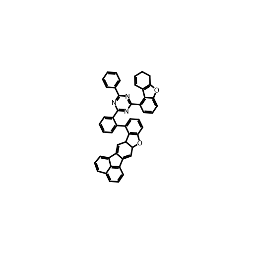 C1=Cc2c(oc3cccc(-c4nc(-c5ccccc5)nc(-c5ccccc5-c5cccc6c5C5C=C7C(=CC5O6)c5cccc6cccc7c56)n4)c23)CC1